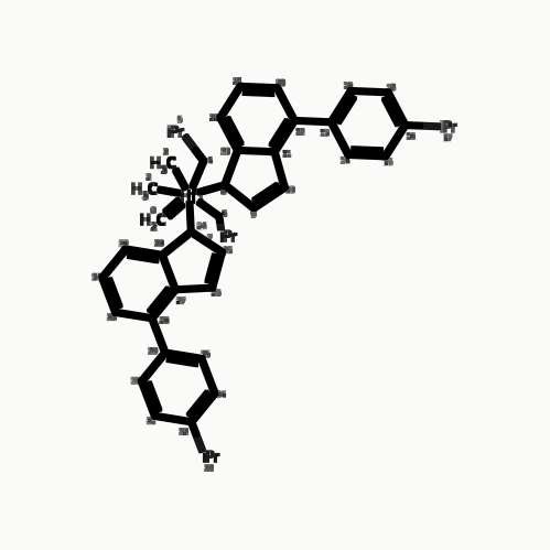 [CH2]=[Hf]([CH3])([CH3])([CH2]C(C)C)([CH2]C(C)C)([CH]1C=Cc2c(-c3ccc(C(C)C)cc3)cccc21)[CH]1C=Cc2c(-c3ccc(C(C)C)cc3)cccc21